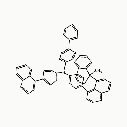 CC1(c2cccc3cccc(-c4ccc(N(c5ccc(-c6ccccc6)cc5)c5ccc(-c6cccc7ccccc67)cc5)cc4)c23)CC=Cc2ccccc21